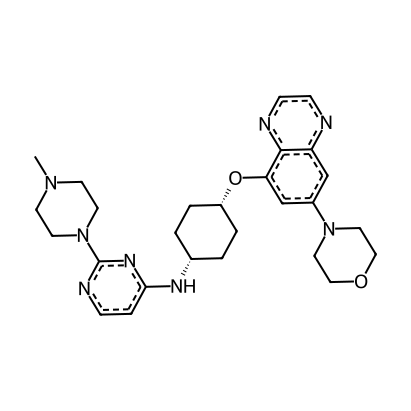 CN1CCN(c2nccc(N[C@H]3CC[C@@H](Oc4cc(N5CCOCC5)cc5nccnc45)CC3)n2)CC1